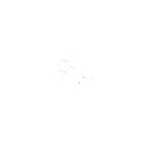 Cc1ccc(N)c(C)c1C.O=C(O)C(F)(F)F